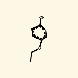 CCOc1ccc(O)nc1